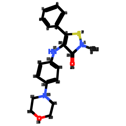 CC(C)(C)n1sc(-c2ccccc2)c(Nc2ccc(N3CCOCC3)cc2)c1=O